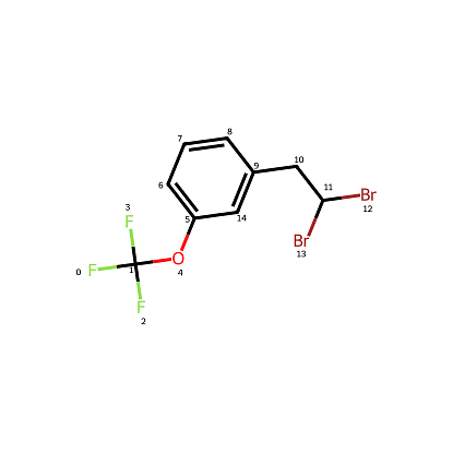 FC(F)(F)Oc1cccc(CC(Br)Br)c1